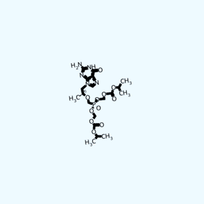 CC(C)OC(=O)OCOP(=O)(CO[C@H](C)Cn1cnc2c(=O)[nH]c(N)nc21)OCOC(=O)OC(C)C